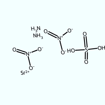 N.N.O=S(=O)(O)O.O=[N+]([O-])[O-].O=[N+]([O-])[O-].[Sr+2]